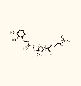 Cc1c(S)cccc1OCC(O)CNC(C)(C)CNC(=O)CCCO[N+](=O)[O-]